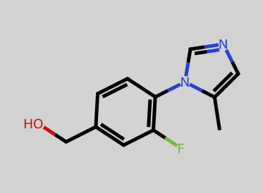 Cc1cncn1-c1ccc(CO)cc1F